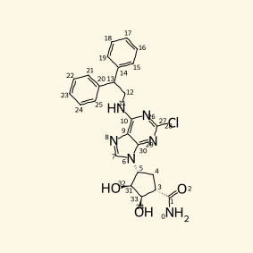 NC(=O)[C@H]1C[C@@H](n2cnc3c(NCC(c4ccccc4)c4ccccc4)nc(Cl)nc32)[C@H](O)[C@@H]1O